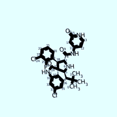 CC(C)(C)C[C@@H]1N[C@@H](C(=O)Nc2cc[nH]c(=O)c2)[C@H](c2cccc(Cl)c2F)[C@]12C(=O)Nc1cc(Cl)ccc12